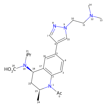 CC(=O)N1c2ccc(-c3cnn(CCN(C)C)c3)cc2[C@H](N(C(=O)O)C(C)C)C[C@@H]1C